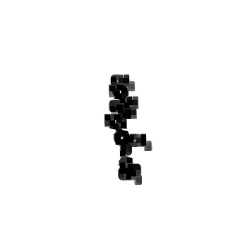 Cc1ccc(NC(=O)Nc2cncc(-c3ccc(OC[C@H]4CC(=O)N(C)C4)c(C)c3)n2)cn1